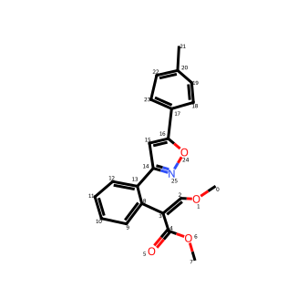 COC=C(C(=O)OC)c1ccccc1-c1cc(-c2ccc(C)cc2)on1